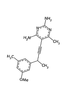 COc1cc(C)cc(C(C)C#Cc2c(C)nc(N)nc2N)c1